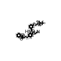 CC(C)(C)c1csc(COc2cccc(C(=O)Nc3cc(CCCS(=O)(=O)c4ccccc4)ccc3OCC#N)c2)n1